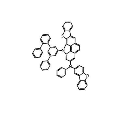 c1ccc(-c2cc(-c3ccccc3-c3ccccc3)cc(-n3c4cc(N(c5ccccc5)c5ccc6oc7ccccc7c6c5)cc5ccc6cc7c8ccccc8sc7c3c6c54)c2)cc1